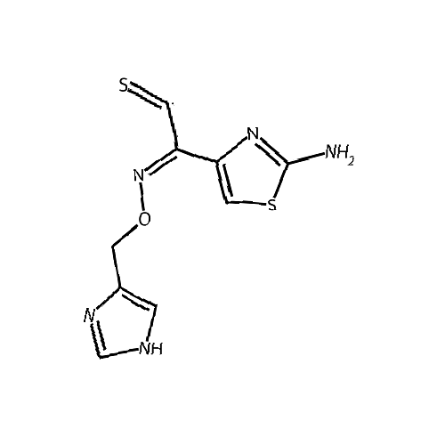 Nc1nc(/C([C]=S)=N\OCc2c[nH]cn2)cs1